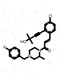 CC1CN(Cc2ccc(F)cc2)CCN1C(=O)C=Cc1ccc(Cl)cc1C#CC(C)(C)O